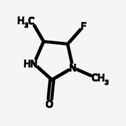 CC1NC(=O)N(C)C1F